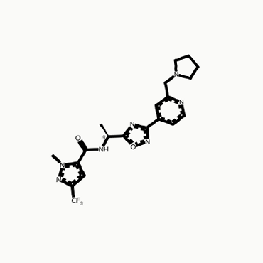 C[C@H](NC(=O)c1cc(C(F)(F)F)nn1C)c1nc(-c2ccnc(CN3CCCC3)c2)no1